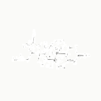 CCCC(=O)O[C@]1(C(=O)COC)CC[C@H]2[C@@H]3CCC4=CC(=O)CC[C@]4(C)[C@H]3[C@@H](O)C[C@@]21C